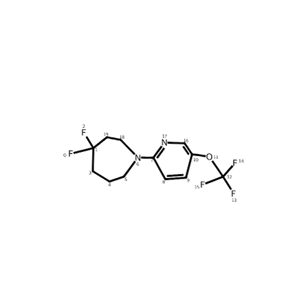 FC1(F)CCCN(c2ccc(OC(F)(F)F)cn2)CC1